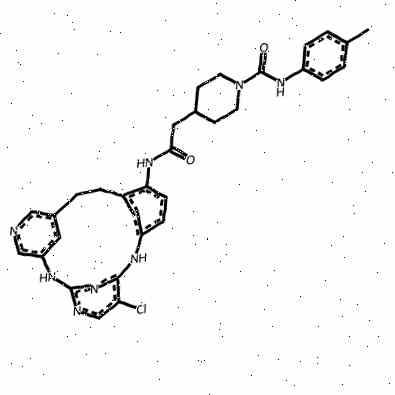 Cc1ccc(NC(=O)N2CCC(CC(=O)Nc3ccc4cc3CCc3cncc(c3)Nc3ncc(Cl)c(n3)N4)CC2)cc1